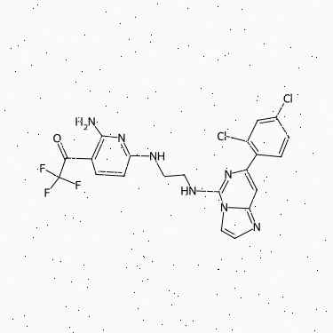 Nc1nc(NCCNc2nc(-c3ccc(Cl)cc3Cl)cc3nccn23)ccc1C(=O)C(F)(F)F